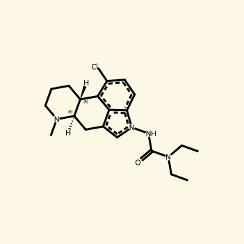 CCN(CC)C(=O)Nn1cc2c3c(c(Cl)ccc31)[C@H]1CCCN(C)[C@@H]1C2